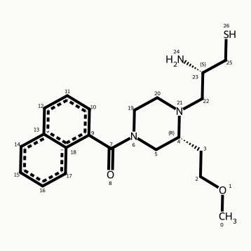 COCC[C@@H]1CN(C(=O)c2cccc3ccccc23)CCN1C[C@H](N)CS